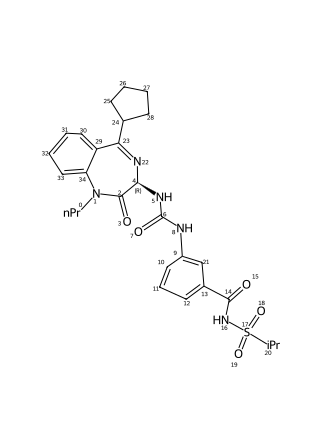 CCCN1C(=O)[C@H](NC(=O)Nc2cccc(C(=O)NS(=O)(=O)C(C)C)c2)N=C(C2CCCC2)c2ccccc21